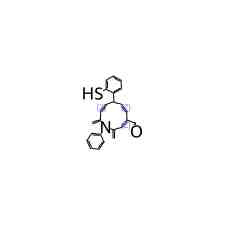 C=C1/C=C\C(c2ccccc2S)/C=C\C(C=O)=C/C(=C)N1c1ccccc1